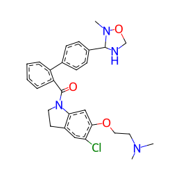 CN(C)CCOc1cc2c(cc1Cl)CCN2C(=O)c1ccccc1-c1ccc(C2NCON2C)cc1